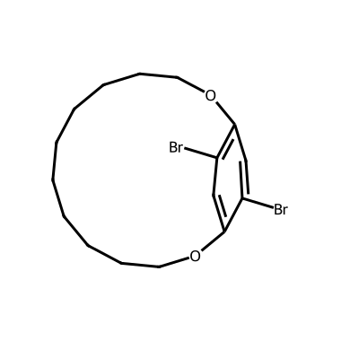 Brc1cc2c(Br)cc1OCCCCCCCCCCO2